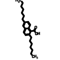 CCCCCCCc1ccc2c(C(=O)O)c(CCCCCCC)ccc2c1